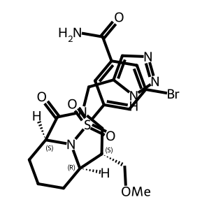 COC[C@H]1CN(Cc2cnn[nH]2)C(=O)[C@@H]2CCC[C@H]1N2S(=O)(=O)c1cc(Br)cc(C(N)=O)c1